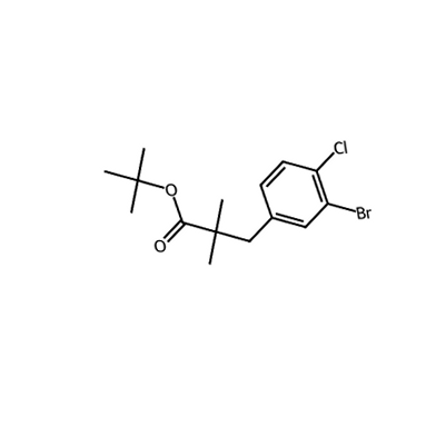 CC(C)(C)OC(=O)C(C)(C)Cc1ccc(Cl)c(Br)c1